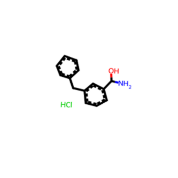 Cl.NC(O)c1cccc(Cc2ccccc2)c1